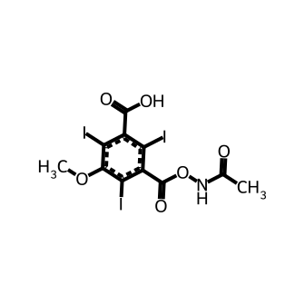 COc1c(I)c(C(=O)O)c(I)c(C(=O)ONC(C)=O)c1I